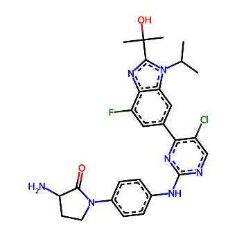 CC(C)n1c(C(C)(C)O)nc2c(F)cc(-c3nc(Nc4ccc(N5CCC(N)C5=O)cc4)ncc3Cl)cc21